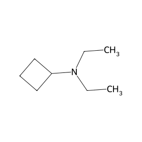 CCN(CC)C1CCC1